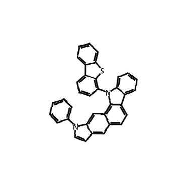 c1ccc(-n2ccc3cc4ccc5c6ccccc6n(-c6cccc7c6sc6ccccc67)c5c4cc32)cc1